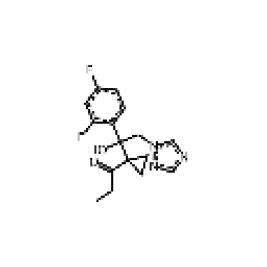 CCC(=O)C1(C(O)(Cn2cncn2)c2ccc(F)cc2F)CC1